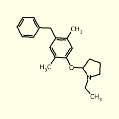 CCN1CCCC1Oc1cc(C)c(Cc2ccccc2)cc1C